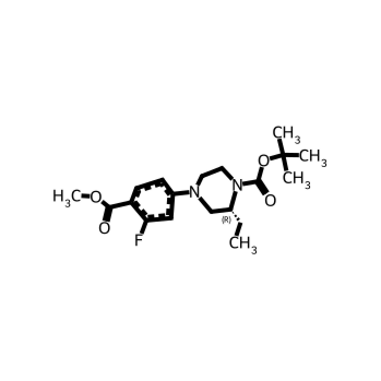 CC[C@@H]1CN(c2ccc(C(=O)OC)c(F)c2)CCN1C(=O)OC(C)(C)C